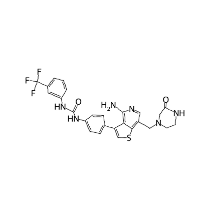 Nc1ncc(CN2CCNC(=O)C2)c2scc(-c3ccc(NC(=O)Nc4cccc(C(F)(F)F)c4)cc3)c12